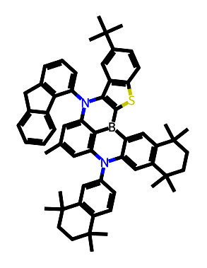 Cc1cc2c3c(c1)N(c1cccc4c1-c1ccccc1C4)c1c(sc4ccc(C(C)(C)C)cc14)B3c1cc3c(cc1N2c1ccc2c(c1)C(C)(C)CCC2(C)C)C(C)(C)CCC3(C)C